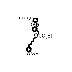 CCOC(=O)c1cccc(S(=O)(=O)c2cccc(CC(OCCCCC=Cc3ccc(OC)cc3)C(=O)OCC)c2)c1